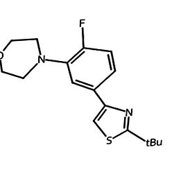 CC(C)(C)c1nc(-c2ccc(F)c(N3CCOCC3)c2)cs1